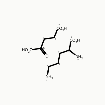 NCCCC(N)C(=O)O.O=C(O)CCC(=O)C(=O)O